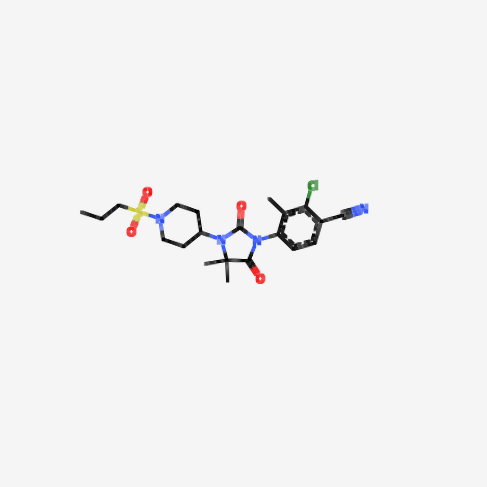 CCCS(=O)(=O)N1CCC(N2C(=O)N(c3ccc(C#N)c(Cl)c3C)C(=O)C2(C)C)CC1